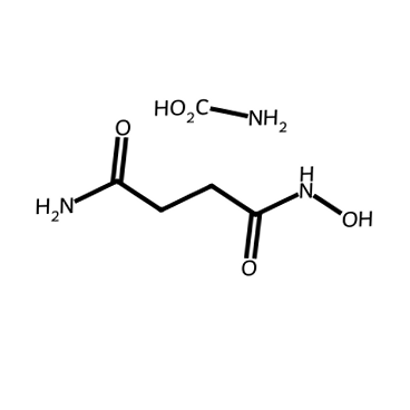 NC(=O)CCC(=O)NO.NC(=O)O